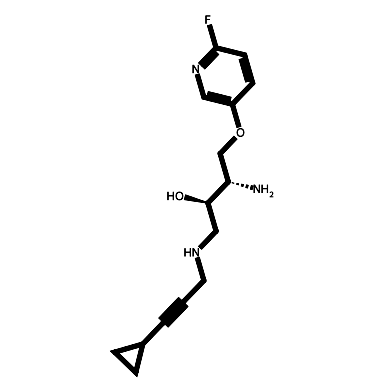 N[C@@H](COc1ccc(F)nc1)[C@H](O)CNCC#CC1CC1